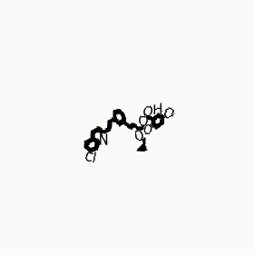 COc1ccc(OCC(/C=C/c2cccc(/C=C/c3ccc4ccc(Cl)cc4n3)c2)OCC2CC2)c(C(=O)O)c1